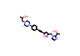 CC(O)CN1CCN(c2ccc(C#Cc3cc(Cn4ccnc4C(C)O)no3)cc2)C[C@@H]1C